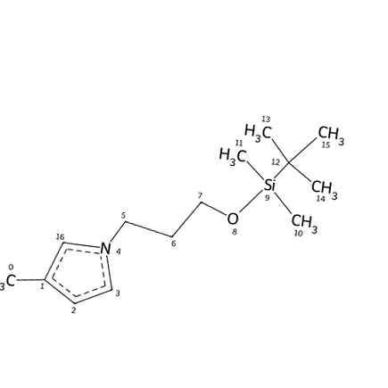 Cc1ccn(CCCO[Si](C)(C)C(C)(C)C)c1